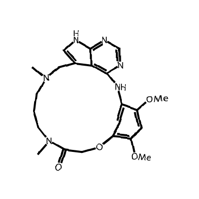 COc1cc(OC)c2cc1Nc1ncnc3[nH]cc(c13)CN(C)CCCN(C)C(=O)CO2